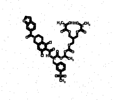 CC(OC(=O)OCC(COC(=O)[C@@H](C)O)COC(=O)[C@@H](C)O)OC(=O)[C@H](Cc1cccc(S(C)(=O)=O)c1)NC(=O)c1c(Cl)cc2c(c1Cl)CCN(C(=O)c1ccc3ccoc3c1)C2